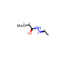 CC=NNC(=O)COC